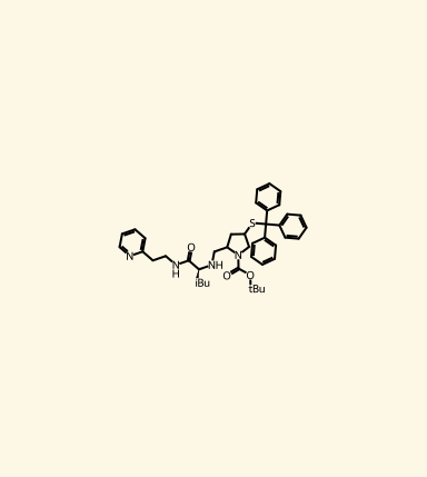 CCC(C)[C@H](NCC1CC(SC(c2ccccc2)(c2ccccc2)c2ccccc2)CN1C(=O)OC(C)(C)C)C(=O)NCCc1ccccn1